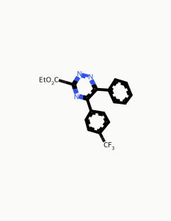 CCOC(=O)c1nnc(-c2ccccc2)c(-c2ccc(C(F)(F)F)cc2)n1